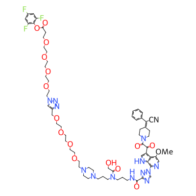 COc1cnc(-n2cnc(C(=O)NCCCN(CCCN3CCN(CCOCCOCCOCCOCc4cn(CCOCCOCCOCCOCCC(=O)Oc5c(F)cc(F)cc5F)nn4)CC3)C(=O)CO)n2)c2[nH]cc(C(=O)C(=O)N3CCC(=C(C#N)c4ccccc4)CC3)c12